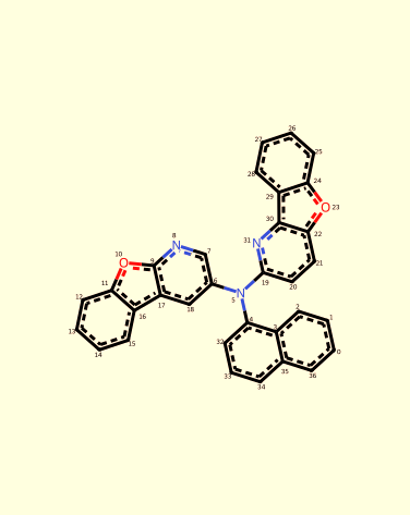 c1ccc2c(N(c3cnc4oc5ccccc5c4c3)c3ccc4oc5ccccc5c4n3)cccc2c1